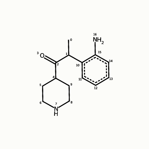 CC(C(=O)C1CCNCC1)c1ccccc1N